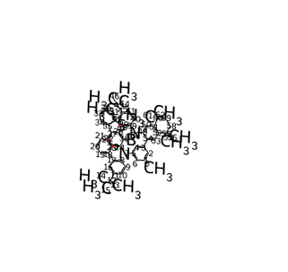 Cc1cc2c3c(c1)N(c1ccc(C(C)(C)C)cc1-c1ccccc1)c1ccc4c(sc5ccccc54)c1B3N(c1ccc(C(C)(C)C)cc1)c1cc3c(cc1-2)C(C)(C)CCC3(C)C